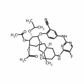 CC(=O)O[C@H]1[C@H](OC(C)C)C(Oc2ccc(Nc3ncc(F)c(N[C@@H]4C[C@@H]5CCCN5C(C)(C)C4)n3)cc2C#N)OC[C@H]1OC(C)=O